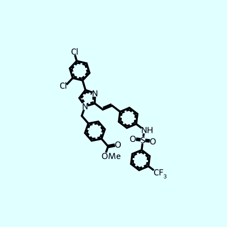 COC(=O)c1ccc(Cn2cc(-c3ccc(Cl)cc3Cl)nc2C=Cc2ccc(NS(=O)(=O)c3cccc(C(F)(F)F)c3)cc2)cc1